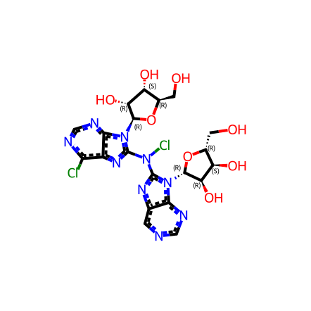 OC[C@H]1O[C@@H](n2c(N(Cl)c3nc4c(Cl)ncnc4n3[C@@H]3O[C@H](CO)[C@@H](O)[C@H]3O)nc3cncnc32)[C@H](O)[C@@H]1O